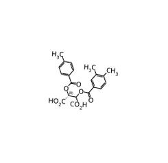 Cc1ccc(C(=O)O[C@@H](C(=O)O)C(OC(=O)c2ccc(C)c(C)c2)C(=O)O)cc1